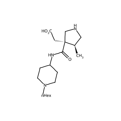 CCCCCCN1CCC(NC(=O)[C@@]2(CC(=O)O)CNC[C@H]2C)CC1